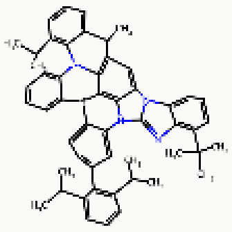 CC(C)c1cccc(C(C)C)c1-c1ccc2c(c1)-n1c3c4c5c(cc3n3c6cccc(C(C)(C)C)c6nc13)C(C)c1cccc(C(C)C)c1N5c1ccccc1B24